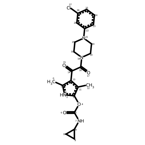 Cc1[nH]c(OC(=O)NC2CC2)c(C)c1C(=O)C(=O)N1CCN(c2cccc(Cl)c2)CC1